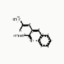 CCCCCC(=O)C(=C\c1ccccc1)/C=C(\C)C(=O)O